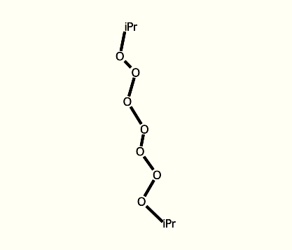 CC(C)OOOOOOOC(C)C